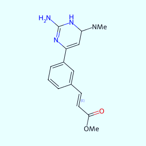 CNC1C=C(c2cccc(/C=C/C(=O)OC)c2)N=C(N)N1